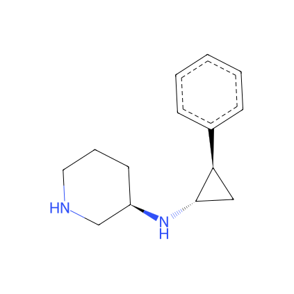 c1ccc([C@H]2C[C@@H]2N[C@@H]2CCCNC2)cc1